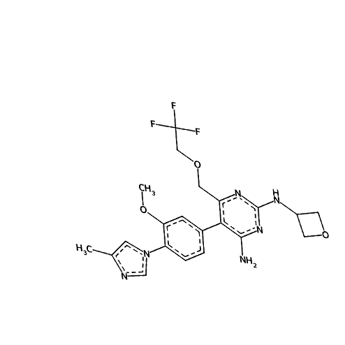 COc1cc(-c2c(N)nc(NC3COC3)nc2COCC(F)(F)F)ccc1-n1cnc(C)c1